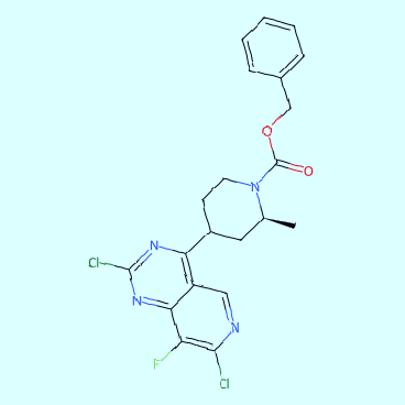 C[C@H]1CC(c2nc(Cl)nc3c(F)c(Cl)ncc23)CCN1C(=O)OCc1ccccc1